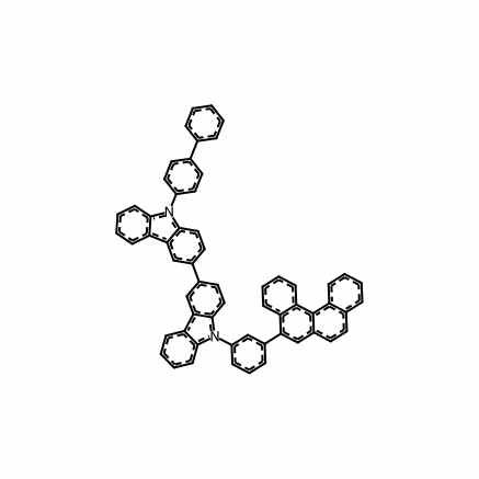 c1ccc(-c2ccc(-n3c4ccccc4c4cc(-c5ccc6c(c5)c5ccccc5n6-c5cccc(-c6cc7ccc8ccccc8c7c7ccccc67)c5)ccc43)cc2)cc1